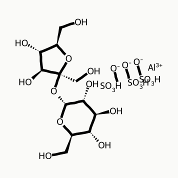 O=S(=O)([O-])O.O=S(=O)([O-])O.O=S(=O)([O-])O.OC[C@H]1O[C@@](CO)(O[C@H]2O[C@H](CO)[C@@H](O)[C@H](O)[C@H]2O)[C@@H](O)[C@@H]1O.[Al+3]